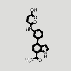 NC(=O)c1ccc(-c2cccc(NC(=O)/C=C\C(=O)O)c2)c2cc[nH]c12